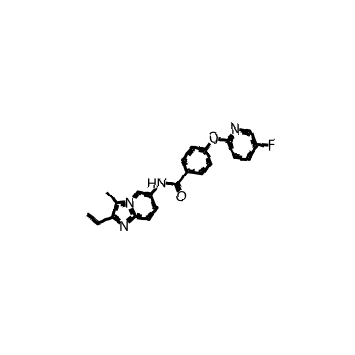 CCc1nc2ccc(NC(=O)c3ccc(Oc4ccc(F)cn4)cc3)cn2c1C